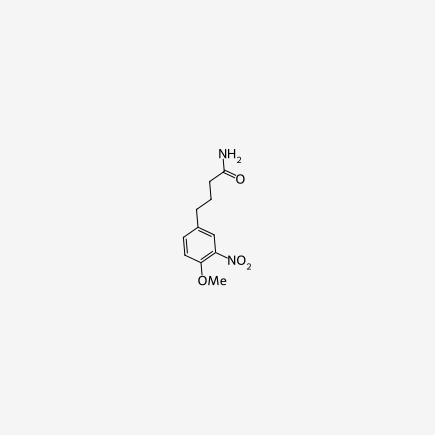 COc1ccc(CCCC(N)=O)cc1[N+](=O)[O-]